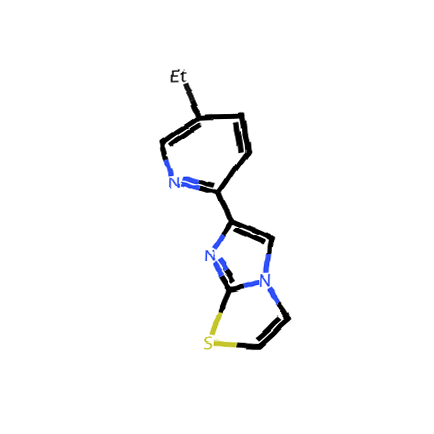 CCc1ccc(-c2cn3ccsc3n2)nc1